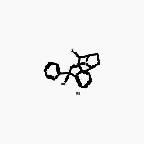 CC1C(CC(C#N)(c2ccccc2)c2ccccc2)CC2CCC1N2C.I